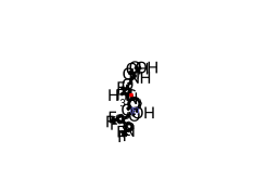 CN1CCCC/C(O)=C(/C(=O)CCc2ccc(C(F)(F)F)cc2C2=CCC=NC(C(F)(F)F)=C2)C(=O)CC1Cc1ccc(OCCN[C@@H](CC(=O)O)C(=O)O)c(F)c1F